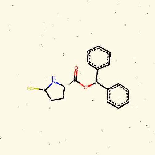 O=C(OC(c1ccccc1)c1ccccc1)[C@@H]1CCC(S)N1